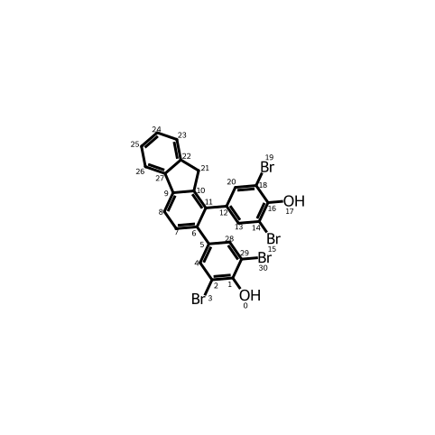 Oc1c(Br)cc(-c2ccc3c(c2-c2cc(Br)c(O)c(Br)c2)Cc2ccccc2-3)cc1Br